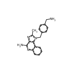 Cc1nc2c(N)nc3ccccc3c2n1Cc1ccc(CN)cc1